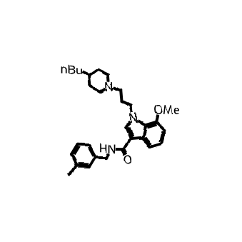 CCCCC1CCN(CCCn2cc(C(=O)NCc3cccc(C)c3)c3cccc(OC)c32)CC1